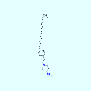 CCCCCCCCCCCCc1ccc(CCN2CCC(N)CC2)cc1